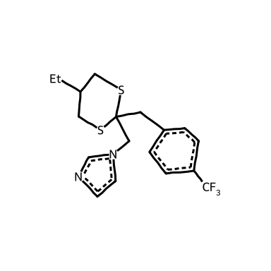 CCC1CSC(Cc2ccc(C(F)(F)F)cc2)(Cn2ccnc2)SC1